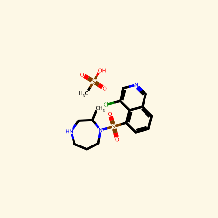 CC1CNCCCN1S(=O)(=O)c1cccc2cncc(Cl)c12.CS(=O)(=O)O